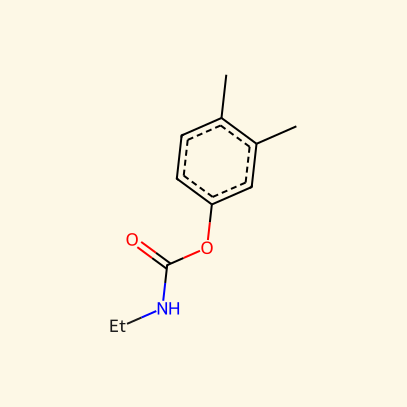 CCNC(=O)Oc1ccc(C)c(C)c1